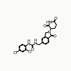 O=C1CCC(N2Cc3cc(CNC(=O)Nc4ccc(Cl)cc4Cl)ccc3C2=O)C(=O)N1